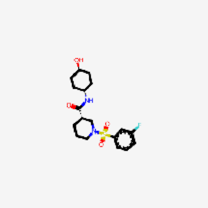 O=C(N[C@H]1CC[C@H](O)CC1)[C@H]1CCCN(S(=O)(=O)c2cccc(F)c2)C1